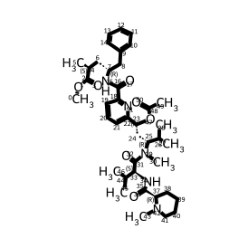 COC(=O)[C@@H](C)C[C@H](Cc1ccccc1)NC(=O)c1cccc([C@@H](C[C@H](C(C)C)N(C)C(=O)[C@@H](NC(=O)[C@H]2CCCCN2C)C(C)C)OC(C)=O)n1